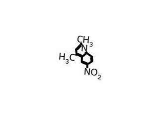 Cc1cc(C)c2cc([N+](=O)[O-])ccc2n1